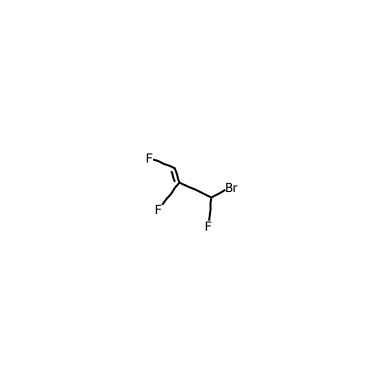 F/C=C(\F)C(F)Br